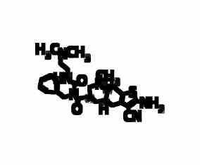 CN(C)CCNC(=O)N(Cc1ccccc1)C(=O)[C@@H]1C[C@@H]2Cc3c(sc(N)c3C#N)C[C@H]2N(C)C1